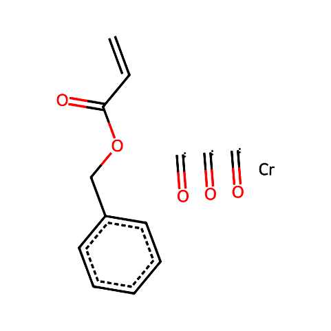 C=CC(=O)OCc1ccccc1.[C]=O.[C]=O.[C]=O.[Cr]